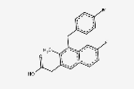 Cc1c(CC(=O)O)cc2ccc(F)cc2c1Cc1ccc(Br)cc1